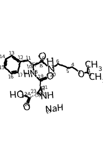 CC(C)OCCCNC(=O)[C@H](Cc1ccccc1)NC(=O)[C@H]1N[C@@H]1C(=O)O.[NaH]